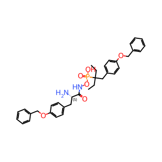 CCC(CC)(Cc1ccc(OCc2ccccc2)cc1)P(=O)(O)ONC(=O)[C@@H](N)Cc1ccc(OCc2ccccc2)cc1